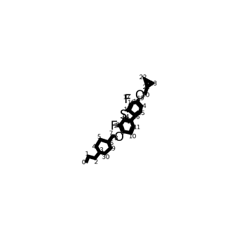 CCCC1CCC(COc2ccc3c(sc4c(F)c(OCC5CC5)ccc43)c2F)CC1